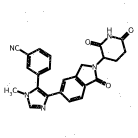 Cn1cnc(-c2ccc3c(c2)CN(C2CCC(=O)NC2=O)C3=O)c1-c1cccc(C#N)c1